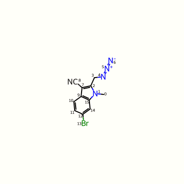 Cn1c(CN=[N+]=[N-])c(C#N)c2ccc(Br)cc21